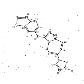 CN1CC(C2=CCn3c(nnc3Sc3ccc4ncsc4c3)C=C2)C=N1